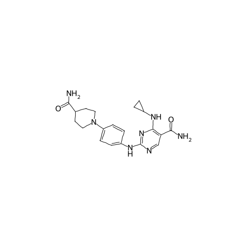 NC(=O)c1cnc(Nc2ccc(N3CCC(C(N)=O)CC3)cc2)nc1NC1CC1